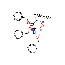 CO[C@@H]1O[C@H](COCc2ccccc2)[C@](N)(OCc2ccccc2)[C@@H](OCc2ccccc2)[C@@H]1OC